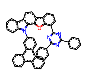 c1ccc(-c2nc(-c3ccccc3)nc(-c3cccc4c3oc3c4ccc4c5ccccc5n(-c5ccc6c7ccccc7c7ccccc7c6c5)c43)n2)cc1